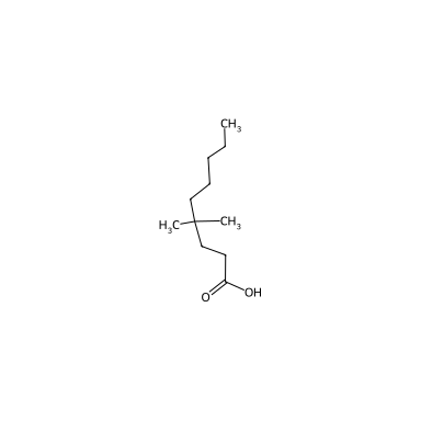 CCCCCC(C)(C)CCC(=O)O